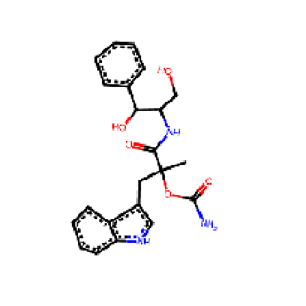 CC(Cc1c[nH]c2ccccc12)(OC(N)=O)C(=O)NC(CO)C(O)c1ccccc1